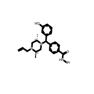 C=CCN1C[C@H](C)N(C(c2ccc(C(=O)NC(C)C)cc2)c2cccc(O)c2)C[C@H]1C